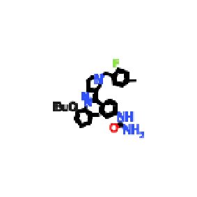 Cc1ccc(CN2CCc3nn(-c4c(C)cccc4OCC(C)C)c(-c4ccc(NC(N)=O)cc4)c3C2)c(F)c1